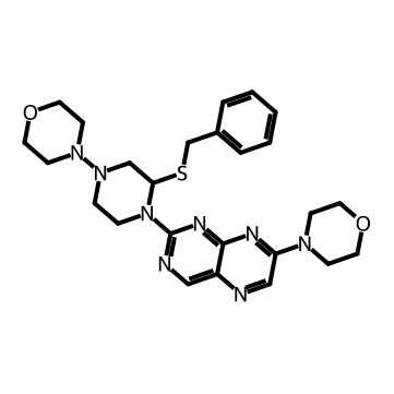 c1ccc(CSC2CN(N3CCOCC3)CCN2c2ncc3ncc(N4CCOCC4)nc3n2)cc1